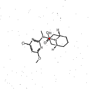 COc1cc(Cl)nc(N(C)C2C[C@H]3CCC[C@@H](C2)N3C(=O)O)n1